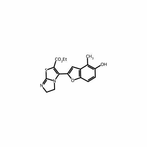 CCOC(=O)C1=C(c2cc3c(C)c(O)ccc3o2)N2CCN=C2S1